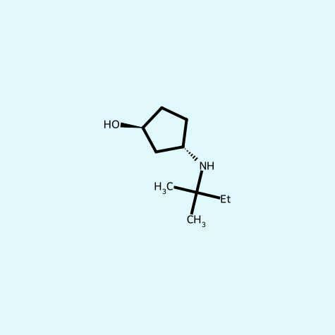 CCC(C)(C)N[C@H]1CC[C@H](O)C1